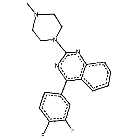 CN1CCN(c2nc(-c3ccc(F)c(F)c3)c3ccccc3n2)CC1